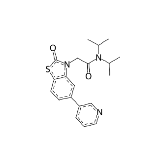 CC(C)N(C(=O)Cn1c(=O)sc2ccc(-c3cccnc3)cc21)C(C)C